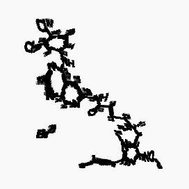 CC#Cc1nc([N+](=O)[O-])c(C[N+](C)(C)C/C=C/C(=O)Nc2cc3c(Nc4ccc(Cl)c(Cl)c4)ncnc3cn2)n1C.[Br-]